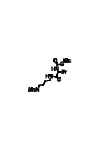 CNCCCCNC(=O)C(NC(=O)OC(C)(C)C)C(C)C